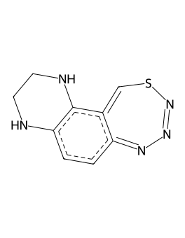 C1=c2c3c(ccc2=NN=NS1)NCCN3